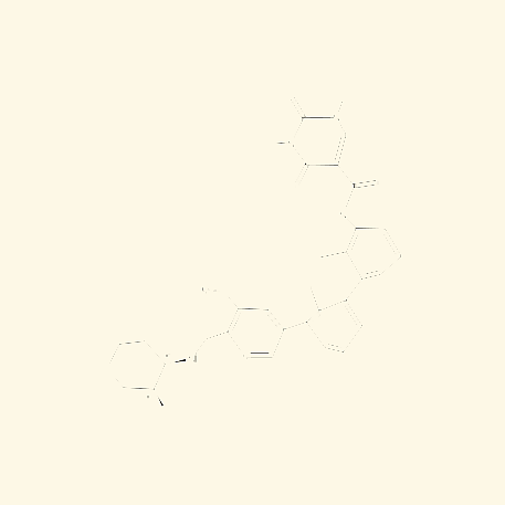 COc1cc(-c2cccc(-c3cccc(NC(=O)c4cn(C)c(=O)n(C)c4=O)c3C)c2Cl)cnc1CN[C@@H]1CCOC[C@@H]1O